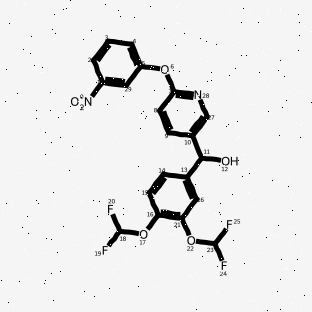 O=[N+]([O-])c1cccc(Oc2ccc(C(O)c3ccc(OC(F)F)c(OC(F)F)c3)cn2)c1